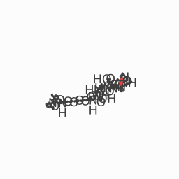 C=Cc1ccccc1N(Cc1ccccc1CC)C(=O)CCC(=O)NCCOCCOCCOCCOCCC(=O)N[C@@H](CCC(=O)O)C(=O)NCC(=O)Nc1ccc(C[C@@H](CC(C)(C)C(=O)O)NC(=O)c2csc([C@@H](C[C@H](C(C)C)N(CCCCCC)C(=O)[C@@H](NC(=O)[C@H]3CCCCN3C)[C@@H](C)CC)OCC)n2)cc1